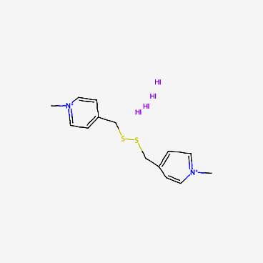 C[n+]1ccc(CSSCc2cc[n+](C)cc2)cc1.I.I.I.I